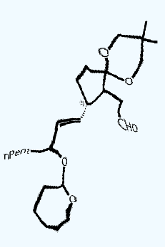 CCCCCC(C=C[C@@H]1CCC2(OCC(C)(C)CO2)C1CC=O)OC1CCCCO1